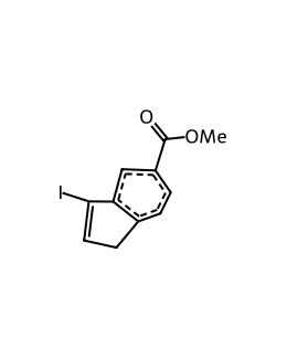 COC(=O)c1ccc2c(c1)C(I)=CC2